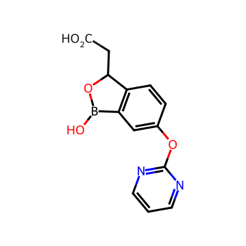 O=C(O)CC1OB(O)c2cc(Oc3ncccn3)ccc21